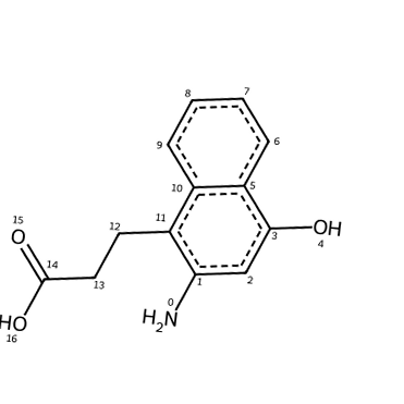 Nc1cc(O)c2ccccc2c1CCC(=O)O